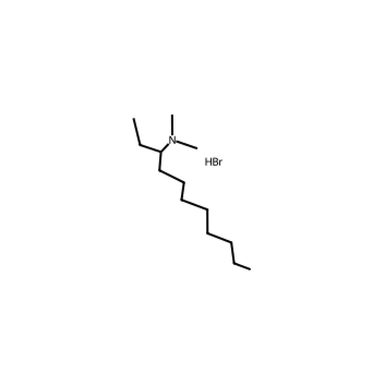 Br.CCCCCCCCC(CC)N(C)C